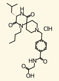 CCCCN1C(=O)[C@H](CC(C)C)NC(=O)C12CCN(Cc1ccc(C(=O)NCC(=O)O)cc1)CC2.Cl